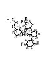 CC(C)Oc1cc(C(=O)Nc2c(-c3cc(F)ccc3F)ccnc2C2CCC(F)(F)CC2)ccn1